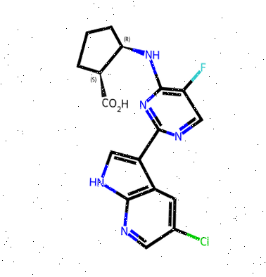 O=C(O)[C@H]1CCC[C@H]1Nc1nc(-c2c[nH]c3ncc(Cl)cc23)ncc1F